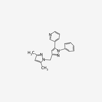 Cc1cc(C)n(Cc2cc(-c3cccnc3)n(-c3ccccc3)n2)n1